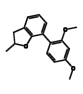 COc1ccc(-c2cccc3c2OC(C)C3)c(OC)c1